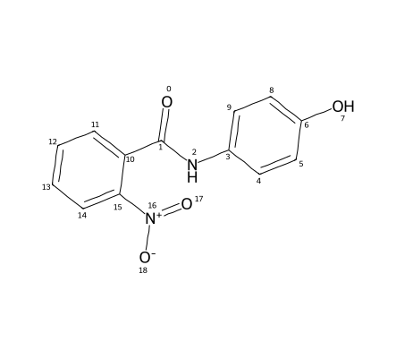 O=C(Nc1ccc(O)cc1)c1ccccc1[N+](=O)[O-]